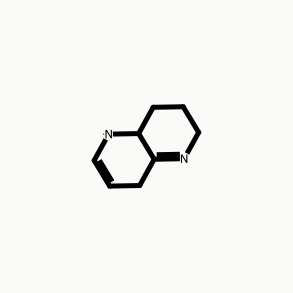 C1=C[N]C2CCCN=C2C1